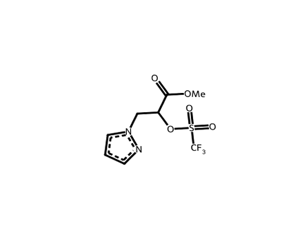 COC(=O)C(Cn1cccn1)OS(=O)(=O)C(F)(F)F